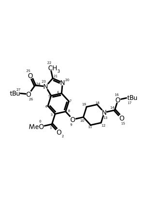 COC(=O)c1cc2c(cc1OC1CCN(C(=O)OC(C)(C)C)CC1)nc(C)n2C(=O)OC(C)(C)C